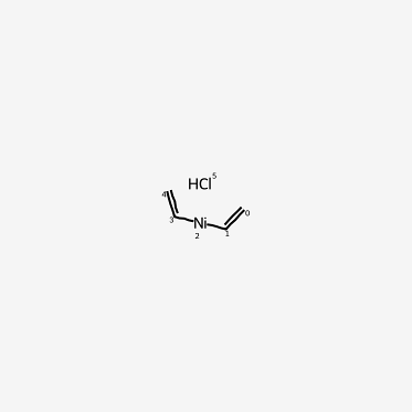 C=[CH][Ni][CH]=C.Cl